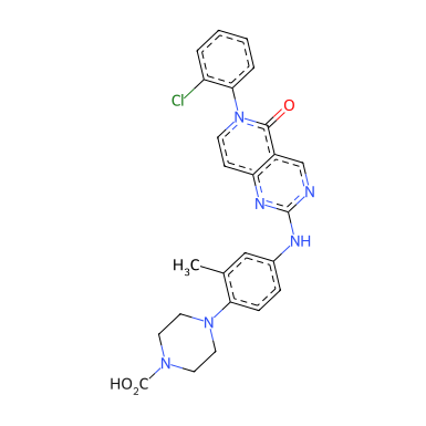 Cc1cc(Nc2ncc3c(=O)n(-c4ccccc4Cl)ccc3n2)ccc1N1CCN(C(=O)O)CC1